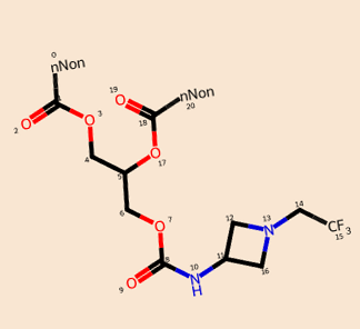 CCCCCCCCCC(=O)OCC(COC(=O)NC1CN(CC(F)(F)F)C1)OC(=O)CCCCCCCCC